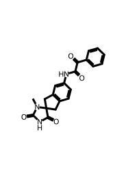 CN1C(=O)NC(=O)C12Cc1ccc(NC(=O)C(=O)c3ccccc3)cc1C2